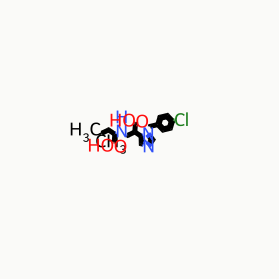 CC(C)CC(NCC(C(=O)O)c1cncn1Cc1ccc(Cl)cc1)C(=O)O